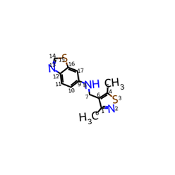 Cc1nsc(C)c1CNc1ccc2ncsc2c1